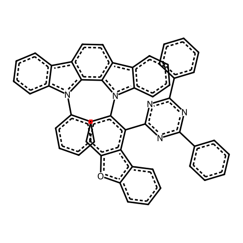 c1ccc(-c2nc(-c3ccccc3)nc(-c3c(-n4c5ccccc5c5ccc6c7ccccc7n(-c7ccccc7)c6c54)ccc4oc5ccccc5c34)n2)cc1